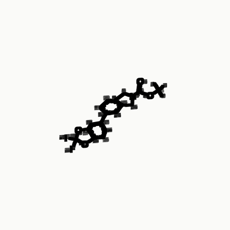 CC(C)(C)OC(=O)N1Cc2ccc(-c3ccc4c(c3)OC(F)(F)O4)cc2C1